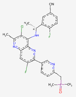 Cc1nc2cc(F)c(-c3ccc(CP(C)(C)=O)nc3)nc2c(N[C@H](C)c2cc(C#N)ccc2F)c1Cl